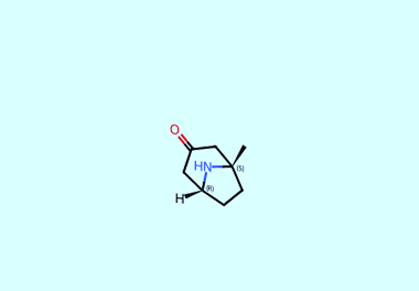 C[C@]12CC[C@H](CC(=O)C1)N2